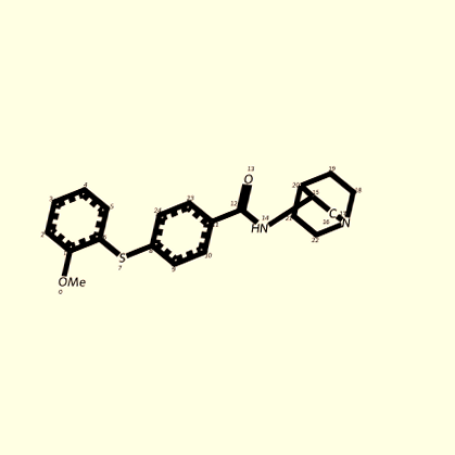 COc1ccccc1Sc1ccc(C(=O)NC2CN3CCC2CC3)cc1